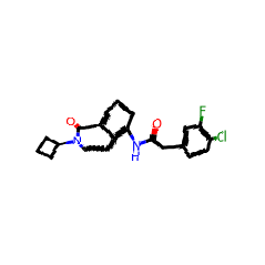 O=C(Cc1ccc(Cl)c(F)c1)Nc1cccc2c(=O)n(C3CCC3)ccc12